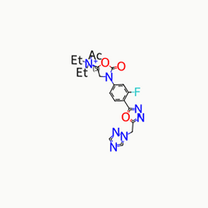 CC[N+](CC)(C(C)=O)[C@@H]1CN(c2ccc(-c3nnc(Cn4cncn4)o3)c(F)c2)C(=O)O1